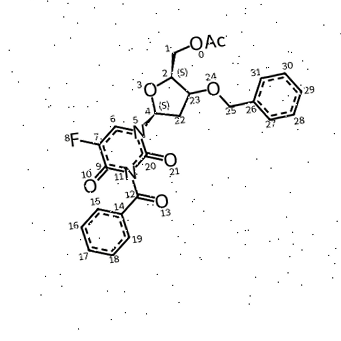 CC(=O)OC[C@@H]1O[C@H](n2cc(F)c(=O)n(C(=O)c3ccccc3)c2=O)CC1OCc1ccccc1